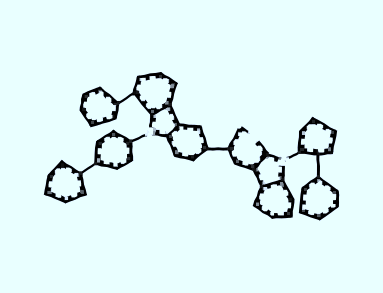 c1ccc(-c2ccc(-n3c4ccc(-c5ccc6c(c5)c5ccccc5n6-c5ccccc5-c5ccccc5)cc4c4cccc(-c5ccccc5)c43)cc2)cc1